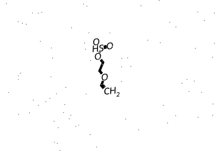 C=COCCO[SH](=O)=O